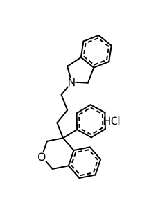 Cl.c1ccc(C2(CCCN3Cc4ccccc4C3)COCc3ccccc32)cc1